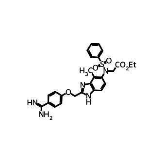 CCOC(=O)CN(c1ccc2[nH]c(COc3ccc(C(=N)N)cc3)nc2c1C)S(=O)(=O)c1ccccc1